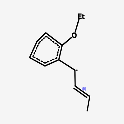 C/C=C/[CH]c1ccccc1OCC